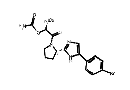 CC[C@H](C)C(OC(N)=O)C(=O)N1CCC[C@H]1c1ncc(-c2ccc(Br)cc2)[nH]1